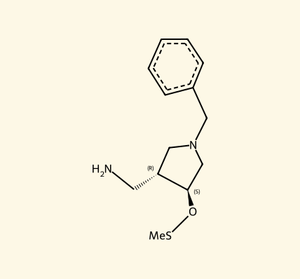 CSO[C@@H]1CN(Cc2ccccc2)C[C@H]1CN